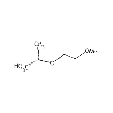 COCCO[C@@H](C)C(=O)O